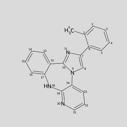 Cc1ccccc1-c1cn2c(n1)-c1ccccc1Nc1ncccc1-2